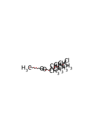 CCCCCCCCCOCOCCCC(C)CC(C)CC(C)CC(C)CC(C)CC(C)CC(C)CCCCl